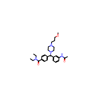 CCN(CC)C(=O)c1ccc([C@H](c2cccc(NC(C)=O)c2)N2CCN(CCCOC)CC2)cc1